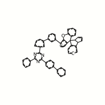 C1=CC2c3ccccc3C3(c4ccccc4Oc4c(-c5cccc(-c6cccc(-c7nc(-c8ccccc8)nc(-c8ccc(-c9ccccc9)cc8)n7)c6)c5)cccc43)C2C=C1